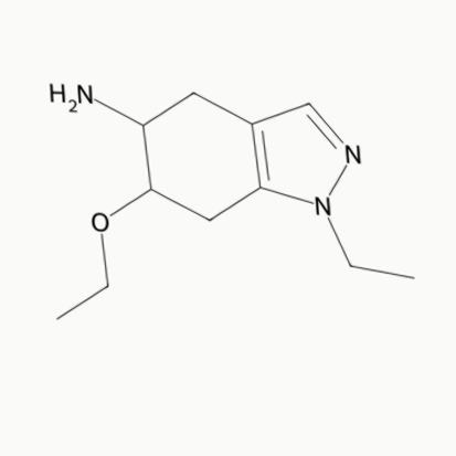 CCOC1Cc2c(cnn2CC)CC1N